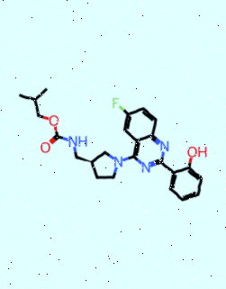 CC(C)COC(=O)NC[C@@H]1CCN(c2nc(-c3ccccc3O)nc3ccc(F)cc23)C1